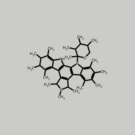 CC1=c2[nH]c3c(c4c(c5c6c(C)c(C)c(C)c(C)c6n(C6(C)OCC(C)C(C)C6C)c35)C(C)N(C)C4C)c2=C(C)C(C)C1C